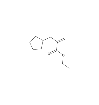 C=C(CC1CCCC1)C(=O)OCC